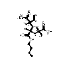 CCCCOC(=O)C(C)(CC(C)(C)C(=O)O)CC(C)(CC)C(=O)O